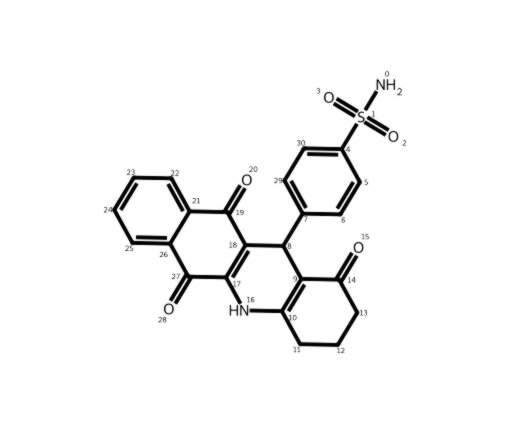 NS(=O)(=O)c1ccc(C2C3=C(CCCC3=O)NC3=C2C(=O)c2ccccc2C3=O)cc1